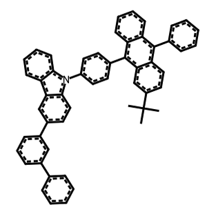 CC(C)(C)c1ccc2c(-c3ccccc3)c3ccccc3c(-c3ccc(-n4c5ccccc5c5cc(-c6cccc(-c7ccccc7)c6)ccc54)cc3)c2c1